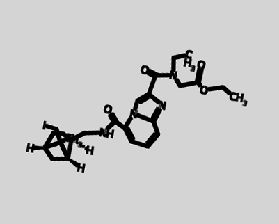 CCOC(=O)CN(CC)C(=O)c1cn2c(C(=O)NC[C@@H]3CC[C@H]4C[C@@H]3C4(C)CI)cccc2n1